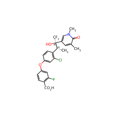 Cc1cc([C@](O)([C@H](C)c2ccc(Oc3ccc(C(=O)O)c(F)c3)cc2Cl)C(F)(F)F)cn(C)c1=O